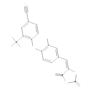 N#Cc1ccc(Oc2ccc(C=C3SC(=O)NC3=O)cc2F)c(C(F)(F)F)c1